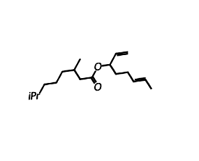 C=CC(CCC=CC)OC(=O)CC(C)CCCC(C)C